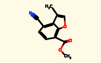 COC(=O)c1ccc(C#N)c2c(C)coc12